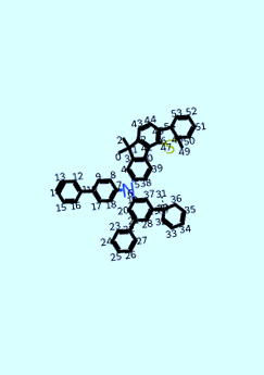 CC1(C)c2cc(N(c3ccc(-c4cc#ccc4)cc3)c3cc(-c4ccccc4)cc([C@]4(C)C=CC=CC4)c3)ccc2-c2c1ccc1c2SC2(C)C=CC=CC12